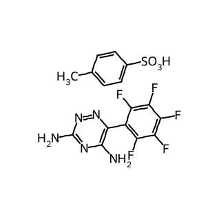 Cc1ccc(S(=O)(=O)O)cc1.Nc1nnc(-c2c(F)c(F)c(F)c(F)c2F)c(N)n1